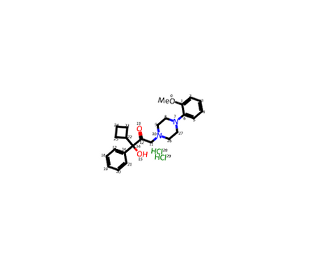 COc1ccccc1N1CCN(CC(=O)C(O)(c2ccccc2)C2CCC2)CC1.Cl.Cl